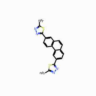 CCCc1nnc(-c2ccc3c(ccc4ccc(-c5nnc(CCC)s5)cc43)c2)s1